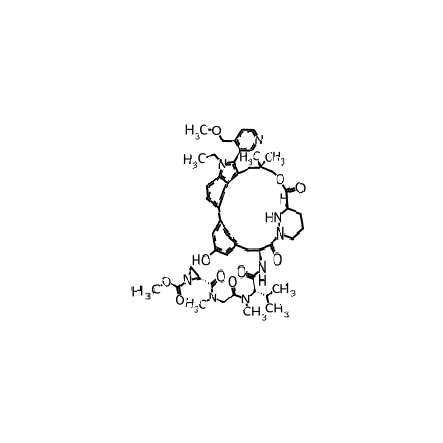 CCn1c(-c2cnccc2COC)c2c3cc(ccc31)-c1cc(O)cc(c1)C[C@H](NC(=O)[C@H](C(C)C)N(C)C(=O)CN(C)C(=O)[C@H]1CN1C(=O)OC)C(=O)N1CCC[C@H](N1)C(=O)OCC(C)(C)C2